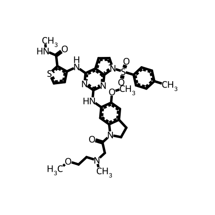 CNC(=O)c1sccc1Nc1nc(Nc2cc3c(cc2OC)CCN3C(=O)CN(C)CCOC)nc2c1ccn2S(=O)(=O)c1ccc(C)cc1